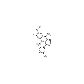 C=C(c1cc(N2CCOC(C(F)(F)F)C2)ncn1)c1cc(OC(C)C)c(F)cc1NN